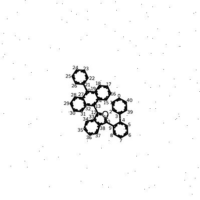 c1ccc(-c2ccccc2-c2oc(-c3c4ccccc4c(-c4ccccc4)c4ccccc34)c3ccccc23)cc1